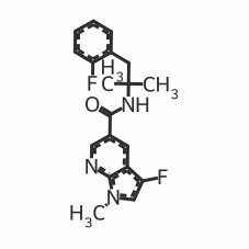 Cn1cc(F)c2cc(C(=O)NC(C)(C)Cc3ccccc3F)cnc21